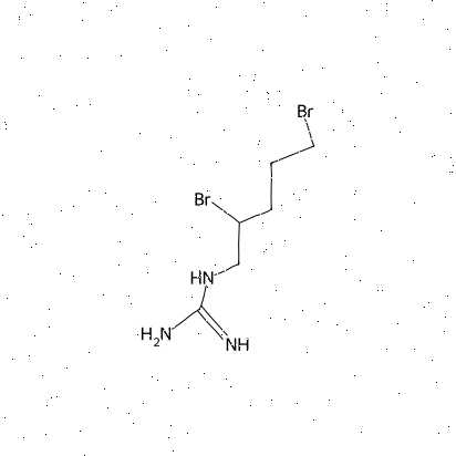 N=C(N)NCC(Br)CCCBr